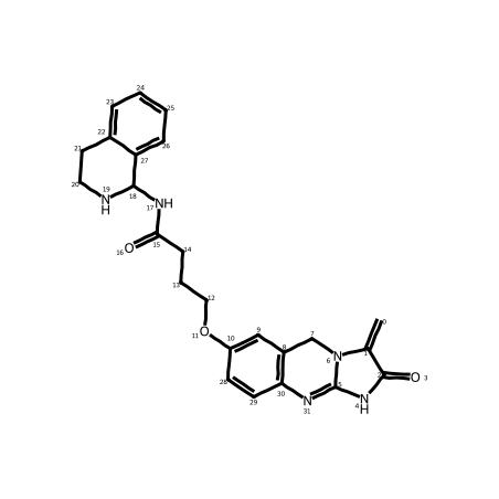 C=c1c(=O)[nH]c2n1Cc1cc(OCCCC(=O)NC3NCCc4ccccc43)ccc1N=2